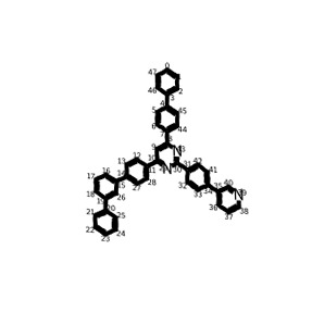 c1ccc(-c2ccc(-c3cc(-c4ccc(-c5cccc(-c6ccccc6)c5)cc4)nc(-c4ccc(-c5cccnc5)cc4)n3)cc2)cc1